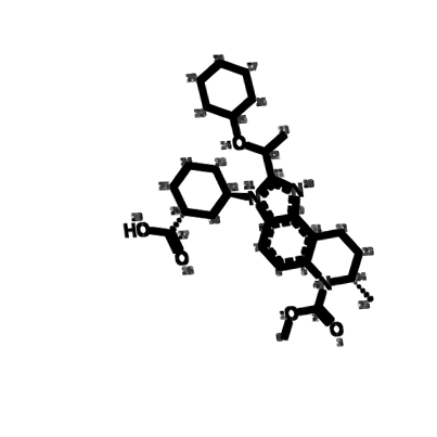 COC(=O)N1c2ccc3c(nc(C(C)OC4CCCCC4)n3[C@@H]3CCC[C@@H](C(=O)O)C3)c2CC[C@@H]1C